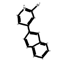 Brc1cc(-c2ccc3ccccc3c2)ccn1